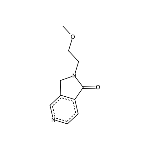 COCCN1Cc2cnccc2C1=O